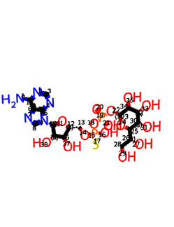 Nc1ncnc2c1ncn2[C@@H]1O[C@H](COP(O)(=S)OP(=O)(O)O[C@@H]2OC([C@H](O)CO)[C@@H](O)[C@H](O)C2O)C(O)[C@@H]1O